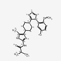 COc1ccc(Cl)cc1-n1nnnc1N1CCC(c2nc(NC(=O)C(C)C)[nH]c2C)CC1